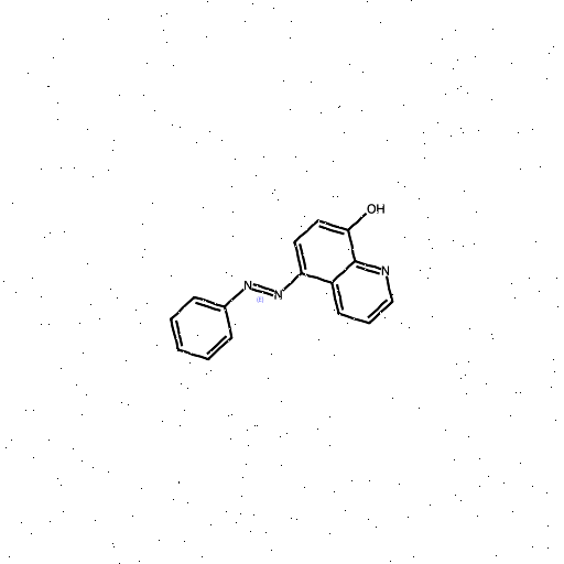 Oc1ccc(/N=N/c2ccccc2)c2cccnc12